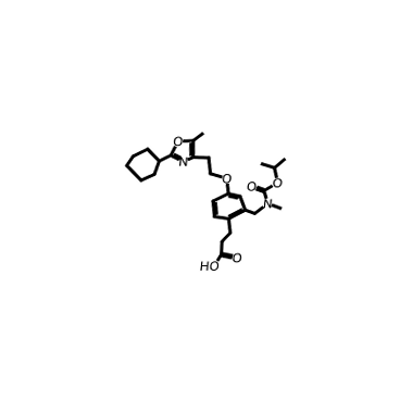 Cc1oc(C2CCCCC2)nc1CCOc1ccc(CCC(=O)O)c(CN(C)C(=O)OC(C)C)c1